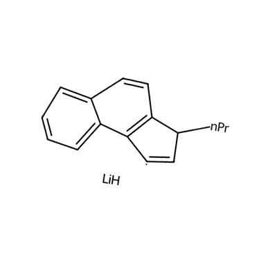 CCCC1C=[C]c2c1ccc1ccccc21.[LiH]